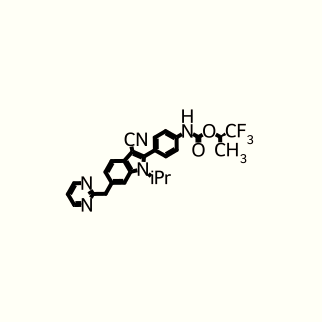 CC(C)n1c(-c2ccc(NC(=O)O[C@H](C)C(F)(F)F)cc2)c(C#N)c2ccc(Cc3ncccn3)cc21